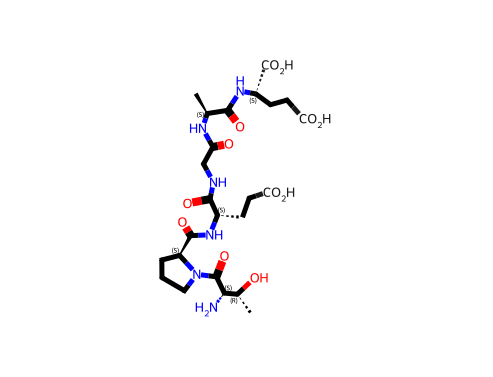 C[C@H](NC(=O)CNC(=O)[C@H](CCC(=O)O)NC(=O)[C@@H]1CCCN1C(=O)[C@@H](N)[C@@H](C)O)C(=O)N[C@@H](CCC(=O)O)C(=O)O